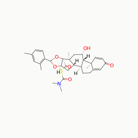 Cc1ccc(C2O[C@@H]3C[C@H]4[C@@H]5CCC6=CC(=O)C=C[C@]6(C)[C@H]5[C@@H](O)C[C@]4(C)[C@]3(C(=O)SC(=O)N(C)C)O2)c(C)c1